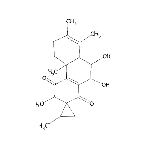 CC1=C(C)C2C(O)C(O)C3=C(C(=O)C(O)C4(CC4C)C3=O)C2(C)CC1